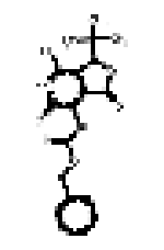 Cc1[nH]c(=O)c(NC(=O)OCc2ccccc2)c2c1C(C(C)(C)C)OC2=O